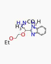 CCOCCOC(C)c1nc2ccccc2[nH]1.NC(=O)O